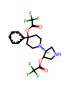 O=C(OC1CNC[C@@H]1N1CCC(OC(=O)C(F)(F)F)(c2ccccc2)CC1)C(F)(F)F